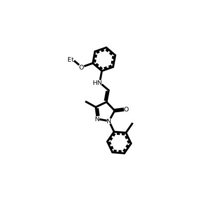 CCOc1ccccc1NC=C1C(=O)N(c2ccccc2C)N=C1C